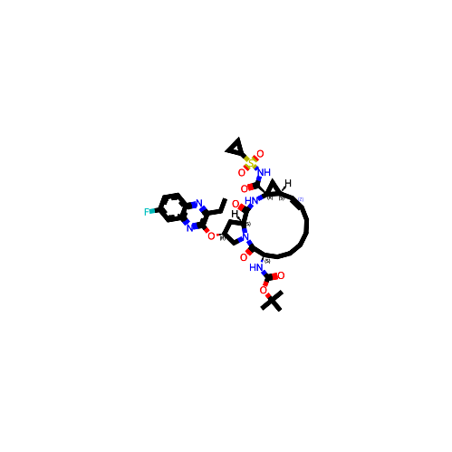 CCc1nc2ccc(F)cc2nc1O[C@@H]1C[C@H]2C(=O)N[C@]3(C(=O)NS(=O)(=O)C4CC4)C[C@H]3/C=C\CCCCC[C@H](NC(=O)OC(C)(C)C)C(=O)N2C1